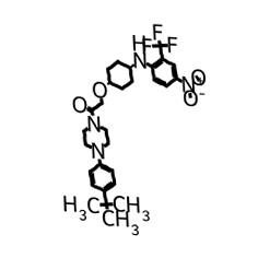 CC(C)(C)c1ccc(N2CCN(C(=O)CO[C@H]3CC[C@H](Nc4ccc([N+](=O)[O-])cc4C(F)(F)F)CC3)CC2)cc1